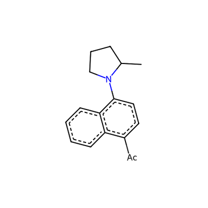 CC(=O)c1ccc(N2CCCC2C)c2ccccc12